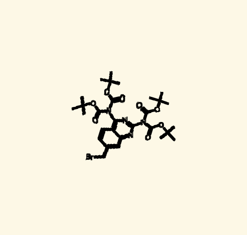 CC(C)(C)OC(=O)N(C(=O)OC(C)(C)C)c1nc(N(C(=O)OC(C)(C)C)C(=O)OC(C)(C)C)c2ccc(CBr)cc2n1